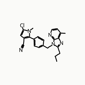 CCCc1nc2c(C)ccnc2n1Cc1ccc(-c2c(C#N)cc(Cl)n2C)cc1